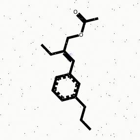 CCCc1cccc(/C=C(\CC)COC(C)=O)c1